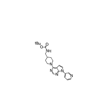 CC(C)(C)OC(=O)NCC1CCN(c2ncnc3c2ccn3-c2cccnc2)CC1